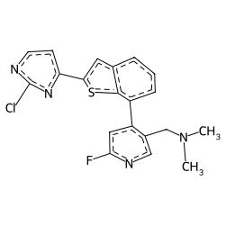 CN(C)Cc1cnc(F)cc1-c1cccc2cc(-c3ccnc(Cl)n3)sc12